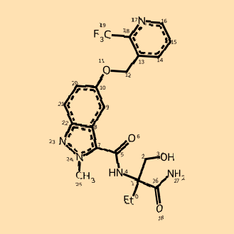 CCC(CO)(NC(=O)c1c2cc(OCc3cccnc3C(F)(F)F)ccc2nn1C)C(N)=O